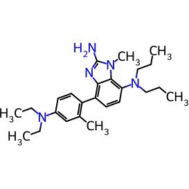 CCCN(CCC)c1ccc(-c2ccc(N(CC)CC)cc2C)c2nc(N)n(C)c12